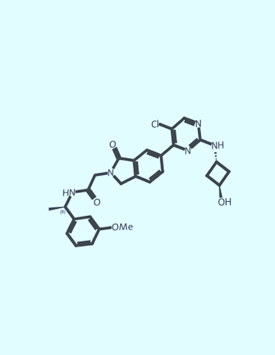 COc1cccc([C@@H](C)NC(=O)CN2Cc3ccc(-c4nc(N[C@H]5C[C@H](O)C5)ncc4Cl)cc3C2=O)c1